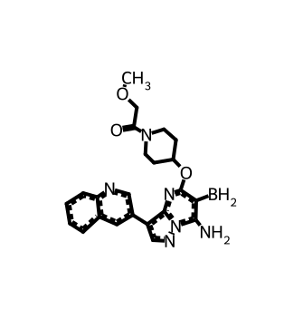 Bc1c(OC2CCN(C(=O)COC)CC2)nc2c(-c3cnc4ccccc4c3)cnn2c1N